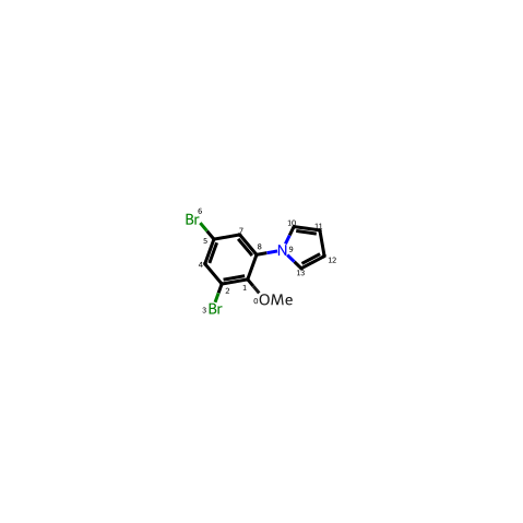 COc1c(Br)cc(Br)cc1-n1cccc1